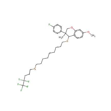 COc1ccc2c(c1)OCC(C)(c1ccc(F)cc1)C2SCCCCCCCCCSCCCC(F)(F)C(F)(F)F